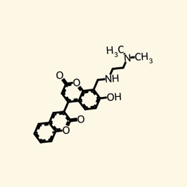 CN(C)CCNCc1c(O)ccc2c(-c3cc4ccccc4oc3=O)cc(=O)oc12